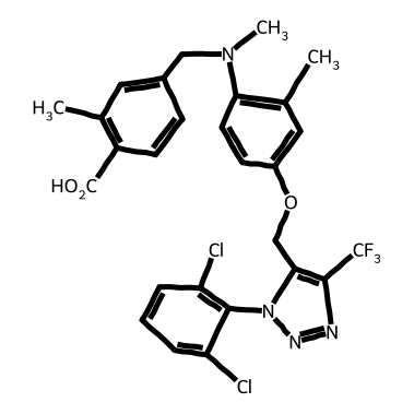 Cc1cc(CN(C)c2ccc(OCc3c(C(F)(F)F)nnn3-c3c(Cl)cccc3Cl)cc2C)ccc1C(=O)O